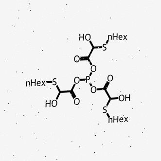 CCCCCCSC(O)C(=O)OP(OC(=O)C(O)SCCCCCC)OC(=O)C(O)SCCCCCC